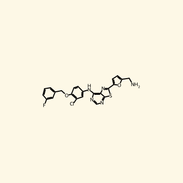 NCc1ccc(-c2nc3c(Nc4ccc(OCc5cccc(F)c5)c(Cl)c4)ncnc3s2)o1